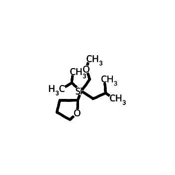 COC[Si](CC(C)C)(C(C)C)C1CCCO1